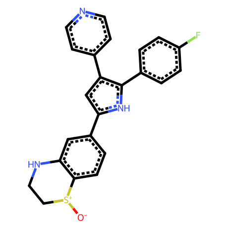 [O-][S+]1CCNc2cc(-c3cc(-c4ccncc4)c(-c4ccc(F)cc4)[nH]3)ccc21